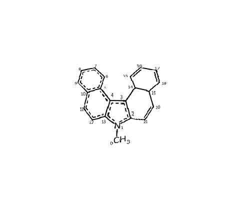 Cn1c2c(c3c4ccccc4ccc31)C1C=CC=CC1C=C2